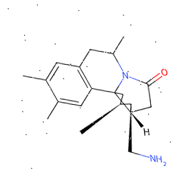 Cc1cc2c(cc1C)C13C[C@H](C)[C@@H](CN)[C@@H]1CC(=O)N3C(C)C2